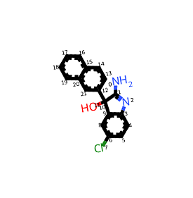 NC1=Nc2ccc(Cl)cc2C1(O)c1ccc2ccccc2c1